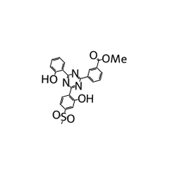 COC(=O)c1cccc(-c2nc(-c3ccccc3O)nc(-c3ccc(S(C)(=O)=O)cc3O)n2)c1